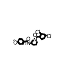 COc1ccc(C(=O)NC2CCCN(C(=O)c3ccc(Cl)cc3Cl)C2)cc1